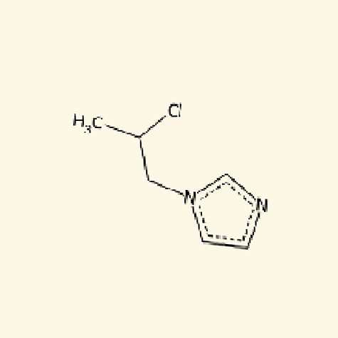 CC(Cl)Cn1ccnc1